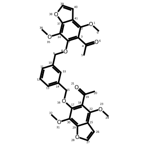 COc1c(C(C)=O)c(OCc2cccc(COc3c(C(C)=O)c(OC)c4ccoc4c3OC)c2)c(OC)c2occc12